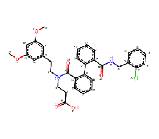 COc1cc(CCN(CCC(=O)O)C(=O)c2ccccc2-c2ccccc2C(=O)NCc2ccccc2Cl)cc(OC)c1